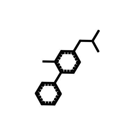 Cc1cc(CC(C)C)ccc1-c1ccccc1